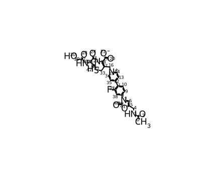 CC(=O)NCc1cn(-c2ccc(-c3cc[n+](CC4=C(C(=O)[O-])N5C(=O)[C@@H](NC(=O)CO)[C@@H]5SC4)cc3)c(F)c2)c(=O)o1